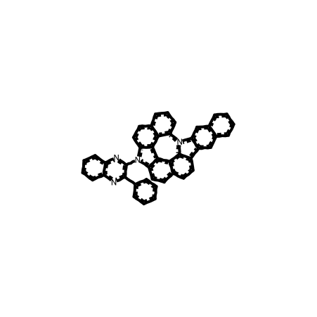 c1ccc(-c2nc3ccccc3nc2-n2c3ccc4cccc5c4c3c3c4c(ccc6c7cc8ccccc8cc7n5c64)ccc32)cc1